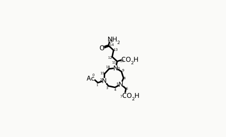 CC(=O)CN1CCN(CC(=O)O)CCN(C(CCC(N)=O)C(=O)O)CC1